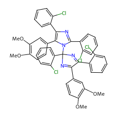 COc1ccc(C2=NC(c3ccccc3Cl)(n3c(-c4ccccc4Cl)nc(-c4ccccc4Cl)c3-c3ccc(OC)c(OC)c3)N=C2c2ccccc2Cl)cc1OC